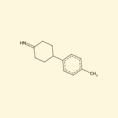 Cc1ccc(C2CCC(=N)CC2)cc1